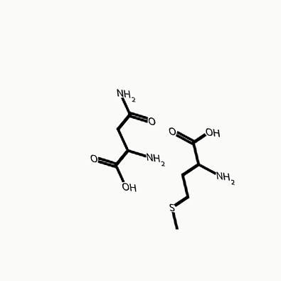 CSCCC(N)C(=O)O.NC(=O)CC(N)C(=O)O